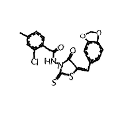 Cc1ccc(C(=O)NN2C(=O)C(=Cc3ccc4c(c3)OCO4)SC2=S)c(Cl)c1